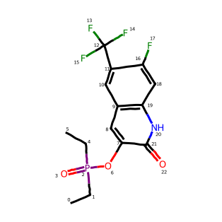 CCP(=O)(CC)Oc1cc2cc(C(F)(F)F)c(F)cc2[nH]c1=O